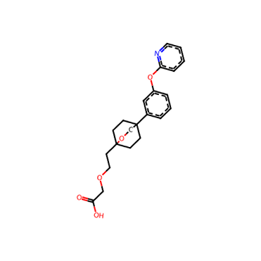 O=C(O)COCCC12CCC(c3cccc(Oc4ccccn4)c3)(CC1)CO2